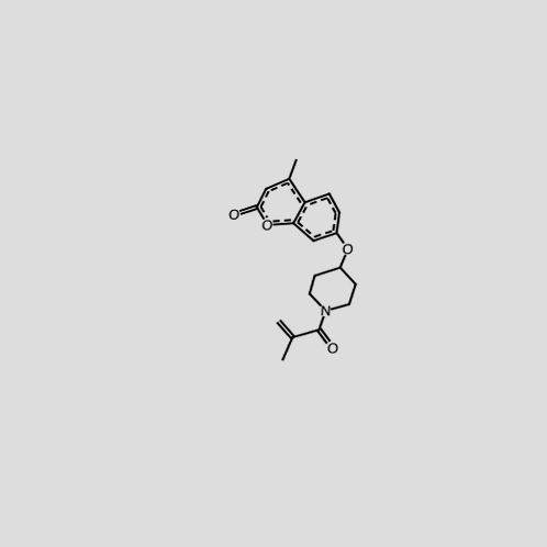 C=C(C)C(=O)N1CCC(Oc2ccc3c(C)cc(=O)oc3c2)CC1